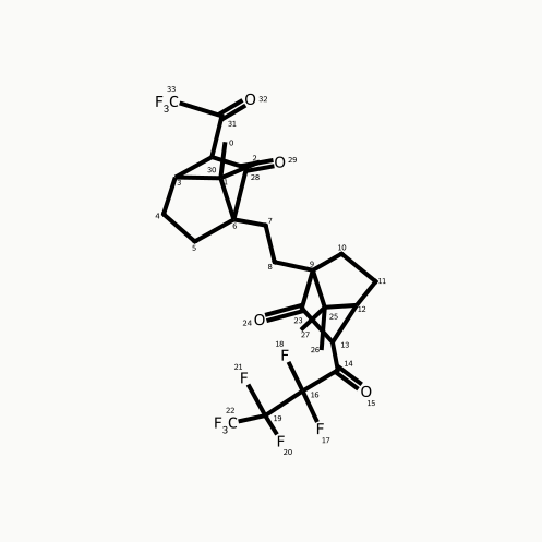 CC1(C)C2CCC1(CCC13CCC(C(C(=O)C(F)(F)C(F)(F)C(F)(F)F)C1=O)C3(C)C)C(=O)C2C(=O)C(F)(F)F